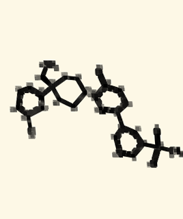 CS(=O)(=O)c1cncc(-c2ccc(=O)n([C@H]3CC[C@@](CN)(c4cccc(Cl)c4)CC3)n2)c1